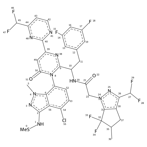 CSNc1nn(C)c2c(-n3c(C(Cc4cc(F)cc(F)c4)NC(=O)Cn4nc(C(F)F)c5c4C(F)(F)C(C)C5)nc(-c4nccc(C(F)F)n4)cc3=O)ccc(Cl)c12